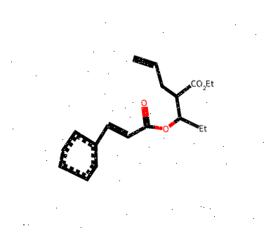 C=CCC(C(=O)OCC)C(CC)OC(=O)/C=C/c1ccccc1